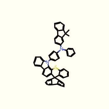 CC1(C)c2ccccc2-c2ccc(N(c3ccccc3)c3ccc(-n4c5ccccc5c5ccc6c(c54)Sc4ccccc4C64c5ccccc5-c5ccccc54)cc3)cc21